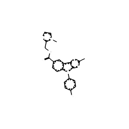 Cc1nc2c(s1)c1cc(C(=O)NCc3nccn3C)ccc1n2-c1ccc(C(F)(F)F)cc1